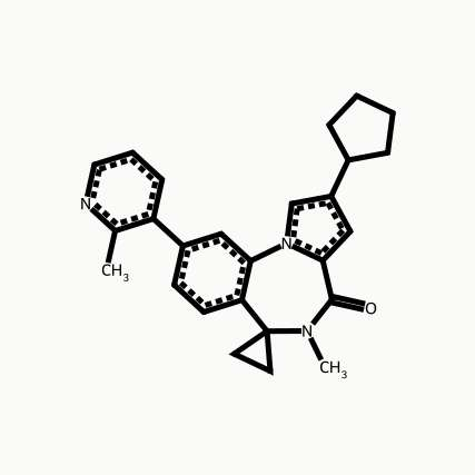 Cc1ncccc1-c1ccc2c(c1)-n1cc(C3CCCC3)cc1C(=O)N(C)C21CC1